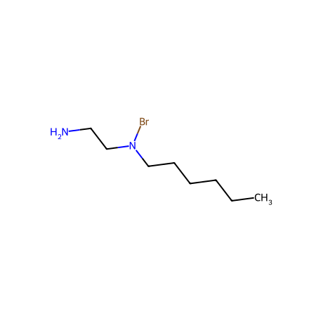 CCCCCCN(Br)CCN